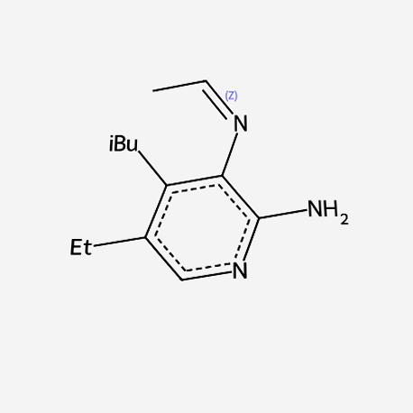 C/C=N\c1c(N)ncc(CC)c1C(C)CC